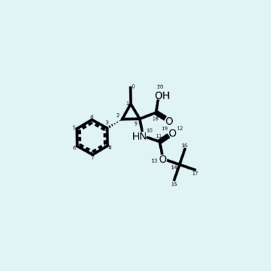 CC1[C@@H](c2ccccc2)C1(NC(=O)OC(C)(C)C)C(=O)O